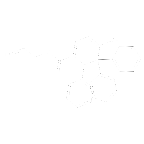 C=CCOC(=O)C1=CC=C(C)C(c2ccccc2)(c2ccccc2)C1c1ccccc1